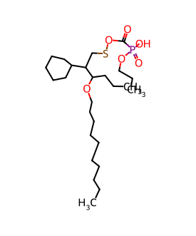 CCCCCCCCCCOC(CCC)C(CSOC(=O)P(=O)(O)OCCC)C1CCCCC1